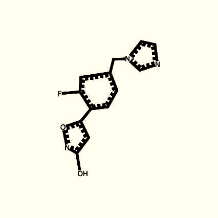 Oc1cc(-c2ccc(Cn3ccnc3)cc2F)on1